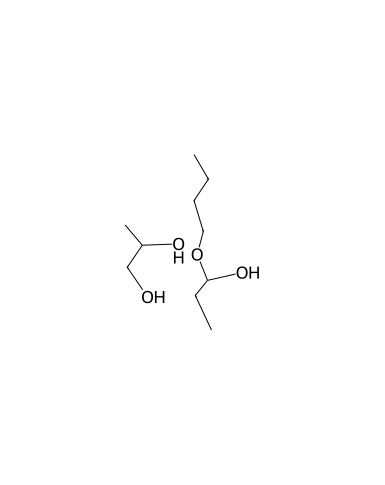 CC(O)CO.CCCCOC(O)CC